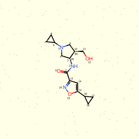 O=C(N[C@H]1CN(C2CC2)C[C@H]1CO)c1cc(C2CC2)on1